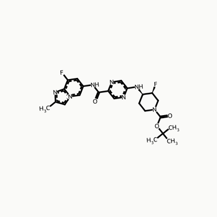 Cc1cn2cc(NC(=O)c3cnc(N[C@@H]4CCN(C(=O)OC(C)(C)C)C[C@@H]4F)cn3)cc(F)c2n1